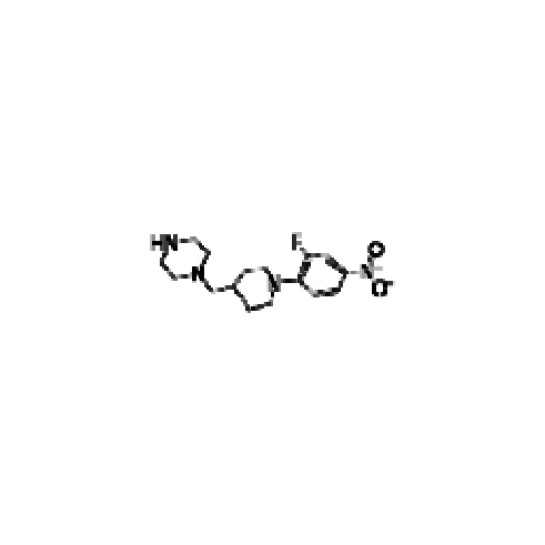 O=[N+]([O-])c1ccc(N2CCC(CN3CCNCC3)CC2)c(F)c1